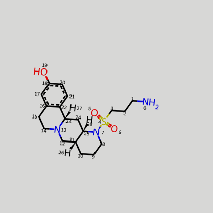 NCCCS(=O)(=O)N1CCC[C@@H]2CN3CCc4cc(O)ccc4[C@@H]3C[C@@H]21